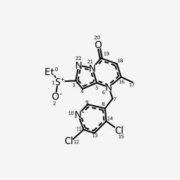 CC[S+]([O-])c1cc2n(Cc3cnc(Cl)cc3Cl)c(C)cc(=O)n2n1